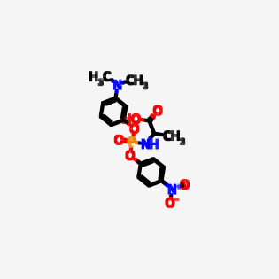 CC(NP(=O)(Oc1ccc([N+](=O)[O-])cc1)Oc1cccc(N(C)C)c1)C(=O)O